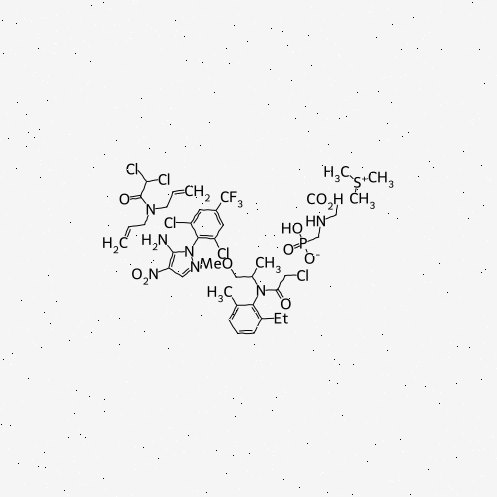 C=CCN(CC=C)C(=O)C(Cl)Cl.CCc1cccc(C)c1N(C(=O)CCl)C(C)COC.C[S+](C)C.Nc1c([N+](=O)[O-])cnn1-c1c(Cl)cc(C(F)(F)F)cc1Cl.O=C(O)CNCP(=O)([O-])O